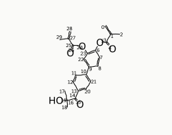 C=C(C)C(=O)Oc1ccc(-c2ccc(C(=O)C(C)(C)O)cc2)cc1OC(=O)C(=C)C